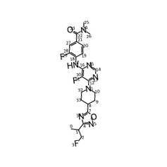 CC(CF)c1noc(C2CCN(c3ncnc(Nc4ccc(C(=O)N(C)C)cc4F)c3F)CC2)n1